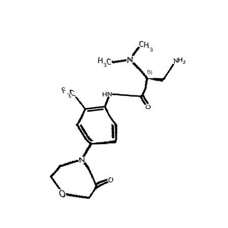 CN(C)[C@@H](CN)C(=O)Nc1ccc(N2CCOCC2=O)cc1C(F)(F)F